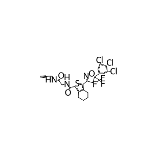 C#CCNC(=O)CNC(=O)c1sc(C2=NOC(c3cc(Cl)c(Cl)c(Cl)c3)(C(F)(F)F)C2)c2c1CCCC2